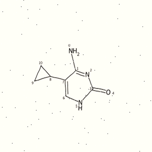 Nc1nc(=O)[nH]cc1C1CC1